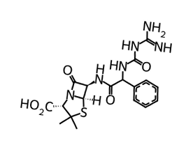 CC1(C)S[C@@H]2[C@H](NC(=O)C(NC(=O)NC(=N)N)c3ccccc3)C(=O)N2[C@H]1C(=O)O